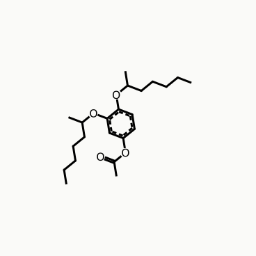 CCCCCC(C)Oc1ccc(OC(C)=O)cc1OC(C)CCCCC